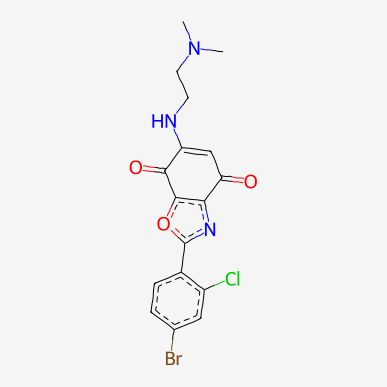 CN(C)CCNC1=CC(=O)c2nc(-c3ccc(Br)cc3Cl)oc2C1=O